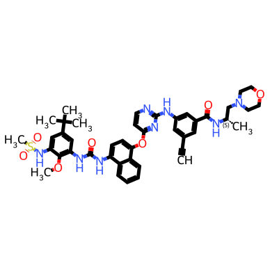 C#Cc1cc(Nc2nccc(Oc3ccc(NC(=O)Nc4cc(C(C)(C)C)cc(NS(C)(=O)=O)c4OC)c4ccccc34)n2)cc(C(=O)N[C@@H](C)CN2CCOCC2)c1